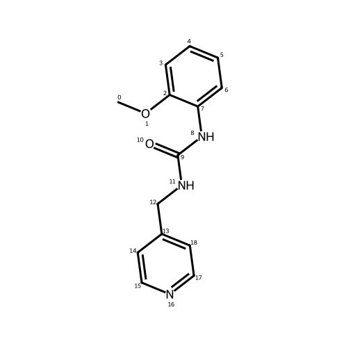 COc1ccccc1NC(=O)NCc1ccncc1